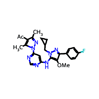 COc1c(-c2ccc(F)cc2)nn(CC2CC2)c1Nc1cc(-n2nc(C)c(C(C)=O)c2C)ncn1